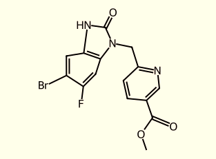 COC(=O)c1ccc(Cn2c(=O)[nH]c3cc(Br)c(F)cc32)nc1